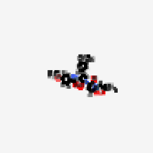 COc1ccc([C@@H]2CN(c3cccn(CC(C)O)c3=O)C(=O)[C@H]2NC(=O)c2ccc(OC(F)(F)F)cc2)cc1